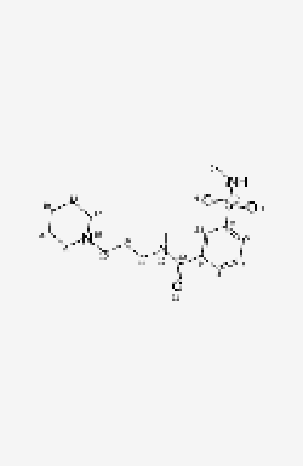 CNS(=O)(=O)c1cccc(C(=O)NCCCN2CCCCC2)c1